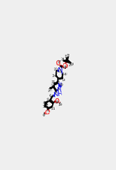 COc1ccc(CNc2nnc(C3CCN(C(=O)OC(C)(C)C)CC3)cc2C)c(OC)c1